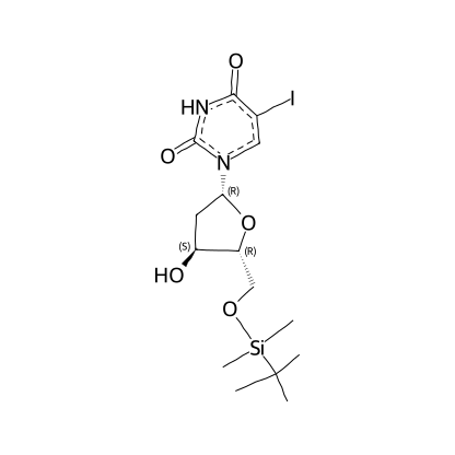 CC(C)(C)[Si](C)(C)OC[C@H]1O[C@@H](n2cc(I)c(=O)[nH]c2=O)C[C@@H]1O